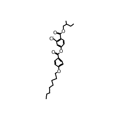 CCCCCCCCOc1ccc(C(=O)Oc2ccc(C(=O)OCC(C)CC)c(Cl)c2)cc1